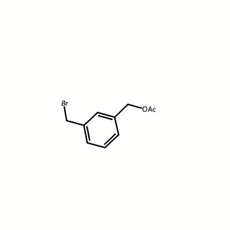 CC(=O)OCc1cccc(CBr)c1